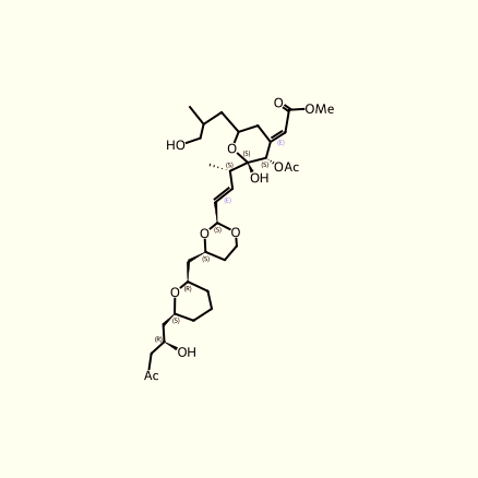 COC(=O)/C=C1\CC(CC(C)CO)O[C@@](O)([C@@H](C)/C=C/[C@H]2OCC[C@@H](C[C@H]3CCC[C@@H](C[C@@H](O)CC(C)=O)O3)O2)[C@H]1OC(C)=O